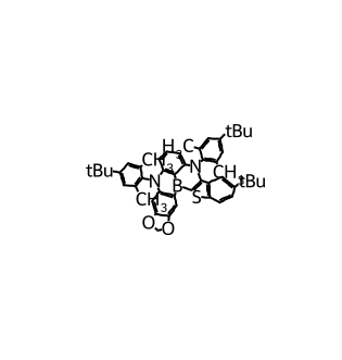 Cc1cc(C(C)(C)C)cc(C)c1N1c2cc3c(cc2B2c4sc5ccc(C(C)(C)C)cc5c4N(c4c(C)cc(C(C)(C)C)cc4C)c4cccc1c42)OCO3